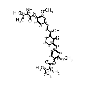 COc1cc(/C=C/C(O)=C2\CCC/C(=C\c3ccc(OC(=O)C(N)C(C)C)c(OC)c3)C2=O)ccc1OC(=O)C(N)C(C)C